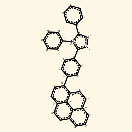 c1ccc(-c2nnc(-c3ccc(-c4ccc5ccc6cccc7ccc4c5c67)cc3)n2-c2ccccc2)cc1